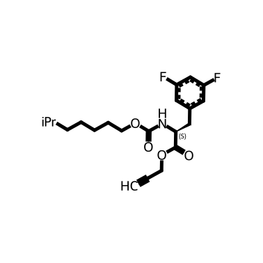 C#CCOC(=O)[C@H](Cc1cc(F)cc(F)c1)NC(=O)OCCCCCC(C)C